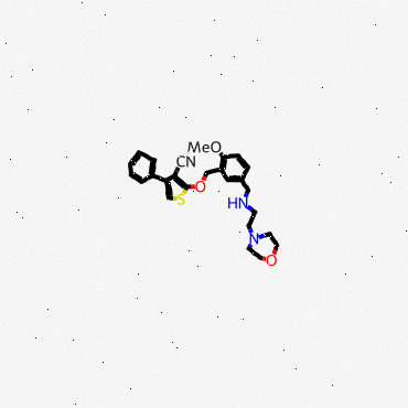 COc1ccc(CNCCN2CCOCC2)cc1COc1scc(-c2ccccc2)c1C#N